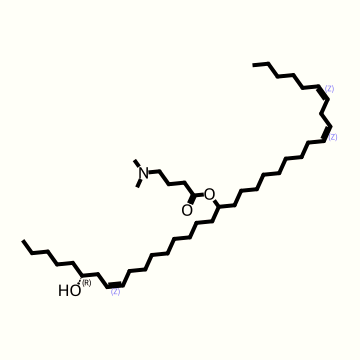 CCCCC/C=C\C/C=C\CCCCCCCCC(CCCCCCCC/C=C\C[C@H](O)CCCCC)OC(=O)CCCN(C)C